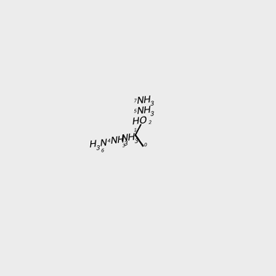 CCO.N.N.N.N.N